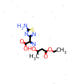 CCOC(=O)CC(C)ON=C(C(=O)O)c1nsc(N)n1